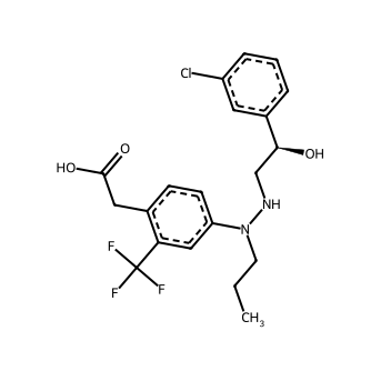 CCCN(NC[C@H](O)c1cccc(Cl)c1)c1ccc(CC(=O)O)c(C(F)(F)F)c1